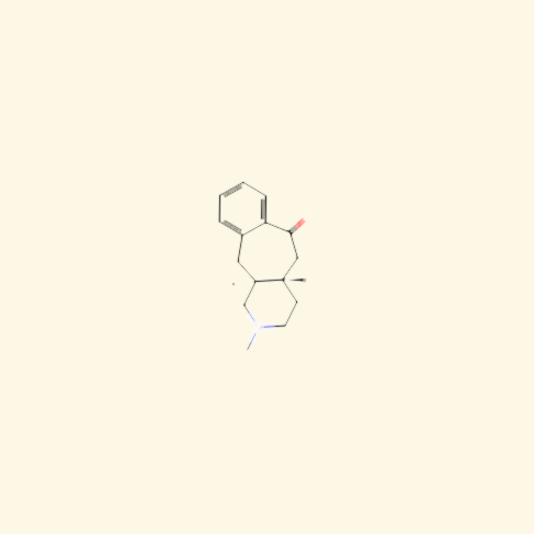 CN1CC[C@H]2CC(=O)c3ccccc3C[C@@H]2C1